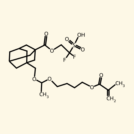 C=C(C)C(=O)OCCCCOC(C)OCC12CC3CC(C1)CC(C(=O)OCC(F)(F)S(=O)(=O)O)(C3)C2